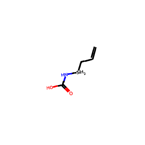 C=CC[SiH2]NC(=O)O